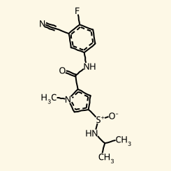 CC(C)N[S+]([O-])c1cc(C(=O)Nc2ccc(F)c(C#N)c2)n(C)c1